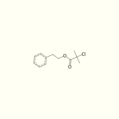 CC(C)(Cl)C(=O)OCCc1ccccc1